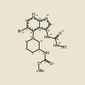 CCCCOC(=O)NC1CCCN(c2c(Br)c[nH]c3ncc(NC(=O)NCC)c2-3)C1